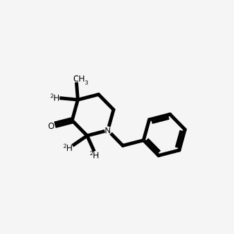 [2H]C1(C)CCN(Cc2ccccc2)C([2H])([2H])C1=O